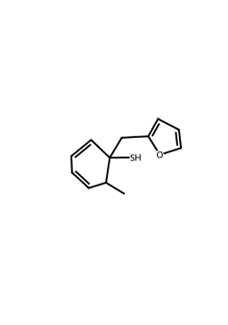 CC1C=CC=CC1(S)Cc1ccco1